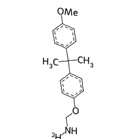 [2H]NCOc1ccc(C(C)(C)c2ccc(OC)cc2)cc1